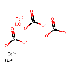 O.O.O=[Si]([O-])[O-].O=[Si]([O-])[O-].O=[Si]([O-])[O-].[Ga+3].[Ga+3]